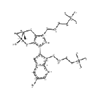 C[C@@]12Cc3c(c(-c4nc5cc(Br)cnc5n4COCC[Si](C)(C)C)nn3COCC[Si](C)(C)C)C[C@@H]1C2